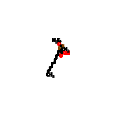 CCCCCCCCCCCCC(C)(SC(=S)OCC)C(=O)O